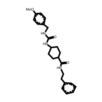 COc1ccc(CNC(=O)NC2CCC(C(=O)NCCc3ccccc3)CC2)cc1